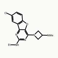 CCNc1nc(N2CC(NC)C2)c2oc3ccc(Cl)cc3c2n1